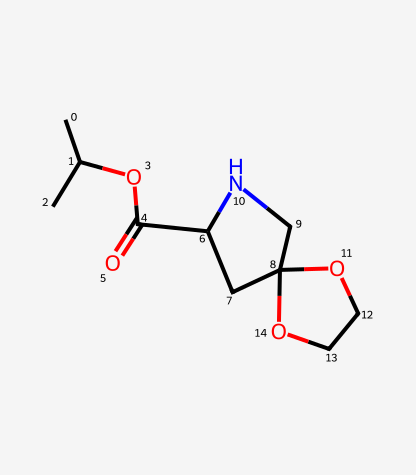 CC(C)OC(=O)C1CC2(CN1)OCCO2